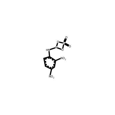 O=[N+]([O-])c1ccc(NN2OS(=O)(=O)O2)c([N+](=O)[O-])c1